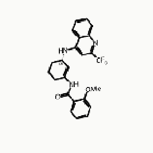 COc1ccccc1C(=O)NC1=C[C@@H](Nc2cc(C(F)(F)F)nc3ccccc23)CCC1